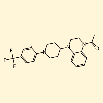 CC(=O)N1CCN(C2CCN(c3[c]cc(C(F)(F)F)cc3)CC2)c2ccccc21